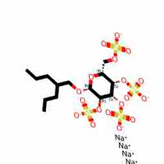 CCCC(CCC)CO[C@@H]1O[C@H](COS(=O)(=O)[O-])[C@H](OS(=O)(=O)[O-])[C@H](OS(=O)(=O)[O-])[C@H]1OS(=O)(=O)[O-].[Na+].[Na+].[Na+].[Na+]